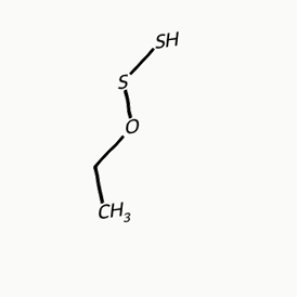 CCOSS